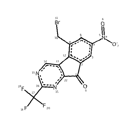 O=C1c2cc([N+](=O)[O-])cc(CBr)c2-c2cnc(C(F)(F)F)nc21